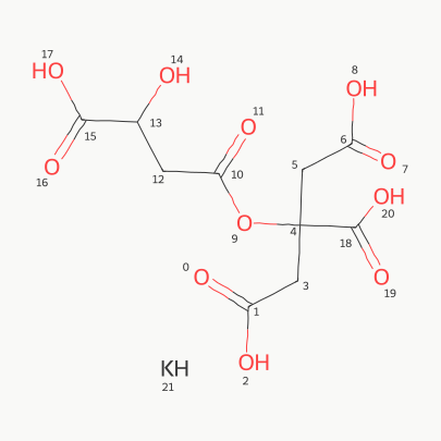 O=C(O)CC(CC(=O)O)(OC(=O)CC(O)C(=O)O)C(=O)O.[KH]